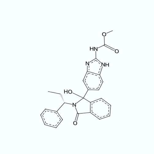 CC[C@@H](c1ccccc1)N1C(=O)c2ccccc2C1(O)c1ccc2[nH]c(NC(=O)OC)nc2c1